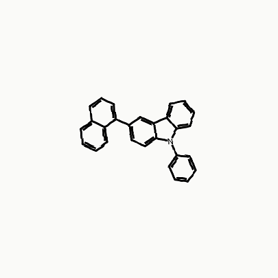 c1ccc(-n2c3ccccc3c3cc(-c4cccc5ccccc45)ccc32)cc1